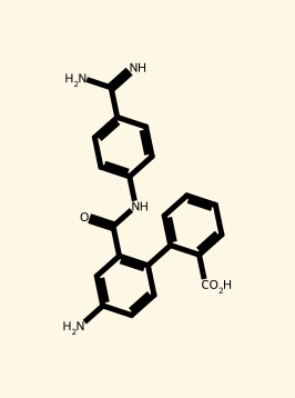 N=C(N)c1ccc(NC(=O)c2cc(N)ccc2-c2ccccc2C(=O)O)cc1